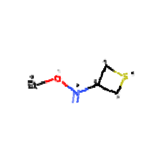 CCONC1CSC1